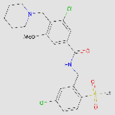 CCS(=O)(=O)c1ccc(Cl)cc1CNC(=O)c1cc(Cl)c(CN2CCCCC2)c(OC)c1